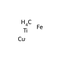 C.[Cu].[Fe].[Ti]